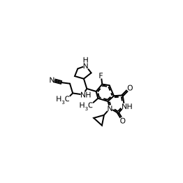 Cc1c(C(NC(C)CC#N)C2CCNC2)c(F)cc2c(=O)[nH]c(=O)n(C3CC3)c12